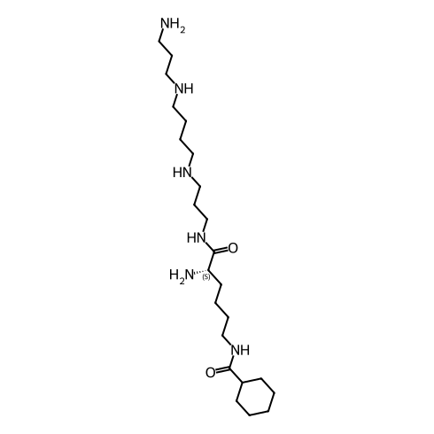 NCCCNCCCCNCCCNC(=O)[C@@H](N)CCCCNC(=O)C1CCCCC1